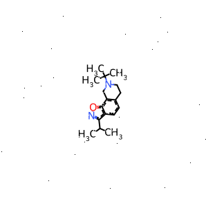 CC(C)c1noc2c3c(ccc12)CCN(C(C)(C)C)C3